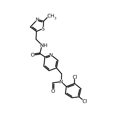 Cc1ncc(CNC(=O)c2ccc(CN(C=O)c3ccc(Cl)cc3Cl)cn2)s1